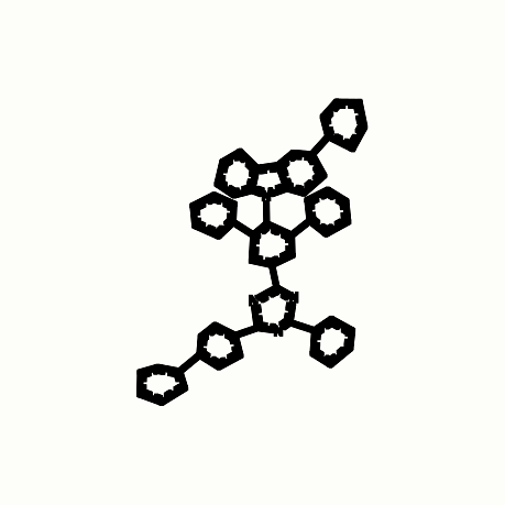 c1ccc(-c2ccc(-c3nc(-c4ccccc4)nc(-c4cc(-c5ccccc5)c(-n5c6ccccc6c6cc(-c7ccccc7)ccc65)c(-c5ccccc5)c4)n3)cc2)cc1